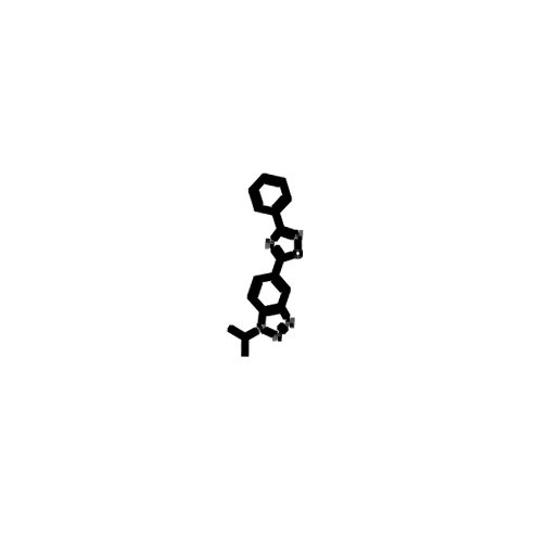 CC(C)n1nnc2cc(-c3nc(-c4ccccc4)no3)ccc21